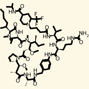 CCCCC(C)[C@@H](C(=O)N[C@H](C(=O)N(C)[C@@H]([C@@H](C)CC)[C@@H](CC(=O)N1CCC[C@H]1[C@H](OC)[C@@H](C)C(=O)N[C@@H](C)C(=O)NCc1ccc(NC(=O)[C@H](CCCNC(N)=O)NC(=O)[C@@H](NC(=O)CCCN2CCC(C(=O)NC(C)C)CC2C(F)(F)F)C(C)C)cc1)OC)C(C)C)N(C)C